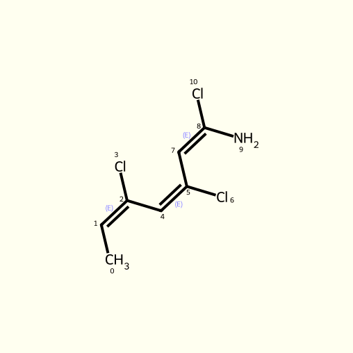 C\C=C(Cl)/C=C(Cl)\C=C(/N)Cl